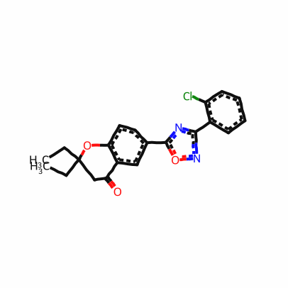 CCC1(CC)CC(=O)c2cc(-c3nc(-c4ccccc4Cl)no3)ccc2O1